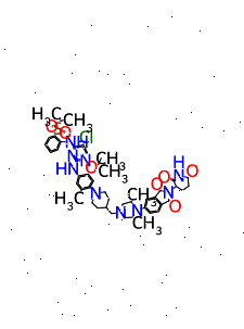 Cc1cc(Nc2ncc(Cl)c(Nc3ccccc3S(=O)(=O)C(C)C)n2)c(OC(C)C)cc1N1CCC(CN2CC(C)N(c3ccc4c(c3)C(=O)N(C3CCC(=O)NC3=O)C4=O)C(C)C2)CC1